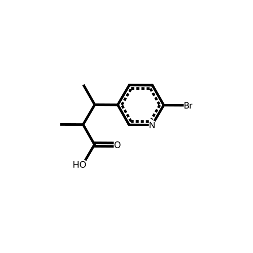 CC(C(=O)O)C(C)c1ccc(Br)nc1